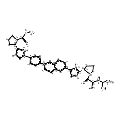 COC(O)N[C@H](C(=O)N1CCC[C@H]1c1ncc(-c2ccc3cc(-c4ccc(-c5cnc([C@@H]6CCCN6C(=O)OC(C)(C)C)[nH]5)cc4)ccc3c2)[nH]1)C(C)C